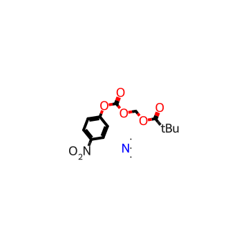 CC(C)(C)C(=O)OCOC(=O)Oc1ccc([N+](=O)[O-])cc1.[N]